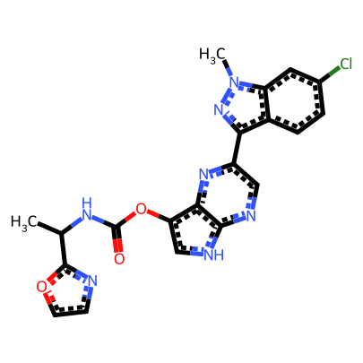 CC(NC(=O)Oc1c[nH]c2ncc(-c3nn(C)c4cc(Cl)ccc34)nc12)c1ncco1